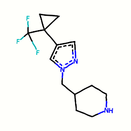 FC(F)(F)C1(c2cnn(CC3CCNCC3)c2)CC1